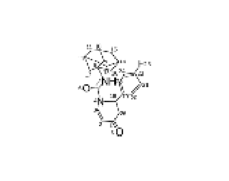 O=C1C=CN(C(=O)NC23CC4CC(CC(C4)C2)C3)C(c2ccc(F)cc2)C1